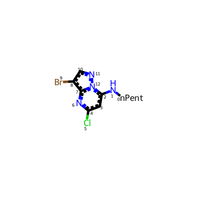 CCCCCNc1cc(Cl)nc2c(Br)cnn12